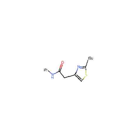 CC(C)NC(=O)Cc1csc(C(C)(C)C)n1